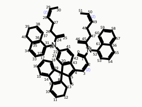 C=C(/C=C\C1=C(C)C2(C3=C(C=CCC3)c3ccccc32)c2cc(N(C(=C)CC/C=C\C)c3cccc4c3C=CCC4)ccc21)N(C(=C)CC/C=C\C)c1cccc2ccccc12